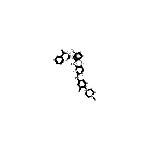 Cc1cc(Nc2ncc(F)c(N[C@H]3[C@@H](C(=O)NC(C)c4ccccc4)[C@@H]4C=C[C@H]3C4)n2)ccc1N1CCN(C)CC1